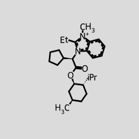 CCc1n([C@@H](C(=O)O[C@@H]2C[C@H](C)CC[C@H]2C(C)C)C2CCCC2)c2ccccc2[n+]1C